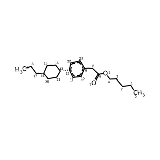 CCCCCOC(=O)Cc1ccc([C@H]2CC[C@H](CCC)CC2)cc1